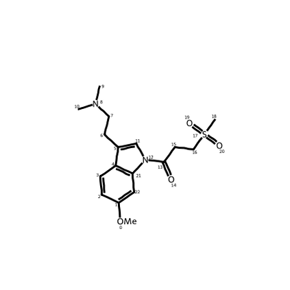 COc1ccc2c(CCN(C)C)cn(C(=O)CCS(C)(=O)=O)c2c1